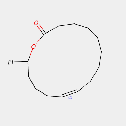 CCC1CCC/C=C\CCCCCCCC(=O)O1